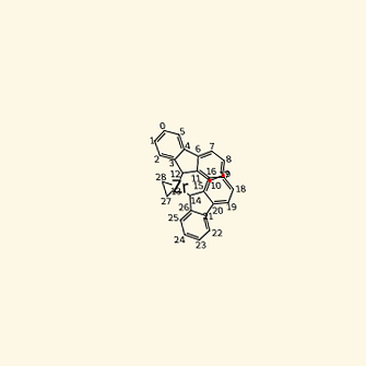 c1ccc2c(c1)-c1ccccc1[CH]2[Zr]1([CH]2c3ccccc3-c3ccccc32)[CH2][CH2]1